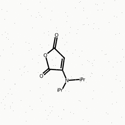 CC(C)N(C1=CC(=O)OC1=O)C(C)C